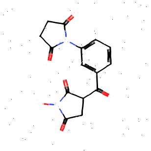 O=C(c1cccc(N2C(=O)CCC2=O)c1)C1CC(=O)N(O)C1=O